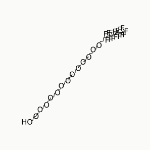 OCCOCCOCCOCCOCCOCCOCCOCCOCCOCCOCCOCCOCCOCCCC(F)(F)C(F)(F)C(F)(F)C(F)(F)C(F)(F)C(F)(F)C(F)(F)F